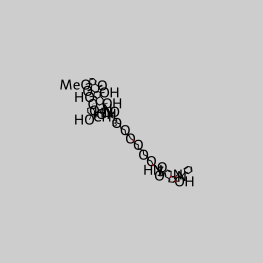 COc1cccc2c1C(=O)c1c(O)c3c(c(O)c1C2=O)C[C@](O)(/C(CO)=N/NC(=O)CCOCCOCCOCCOCCOCCOCCNS(=O)(=O)c1ccc2c(N=Nc4ccccc4)c(O)ccc2c1)C[C@@H]3O[C@H]1CC[C@H](O)C(C)O1